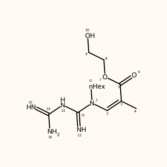 CCCCCCN(C=C(C)C(=O)OCCO)C(=N)NC(=N)N